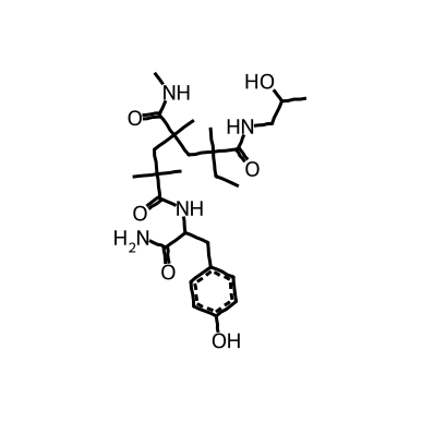 CCC(C)(CC(C)(CC(C)(C)C(=O)NC(Cc1ccc(O)cc1)C(N)=O)C(=O)NC)C(=O)NCC(C)O